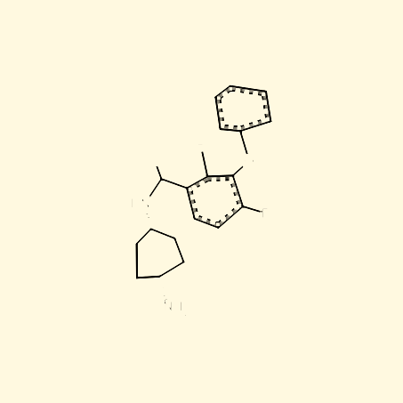 CCC(N[C@H]1CC[C@@H](N)CC1)c1ccc(F)c(Oc2ccccc2)c1F